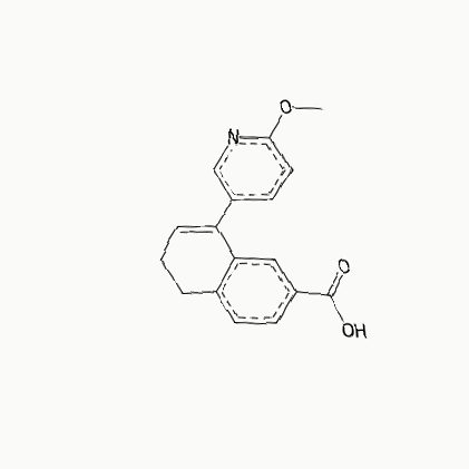 COc1ccc(C2=CCCc3ccc(C(=O)O)cc32)cn1